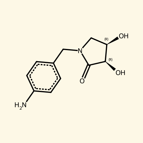 Nc1ccc(CN2C[C@@H](O)[C@@H](O)C2=O)cc1